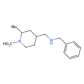 CC(C)(C)C1CC(CNCc2ccccc2)CCN1C(=O)O